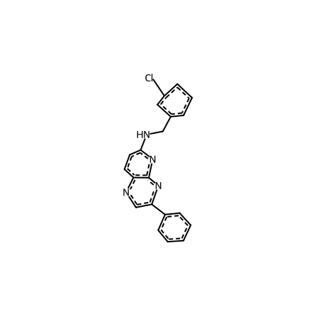 Clc1cccc(CNc2ccc3ncc(-c4ccccc4)nc3n2)c1